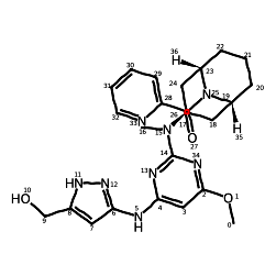 COc1cc(Nc2cc(CO)[nH]n2)nc(N(C)[C@@H]2C[C@H]3CCC[C@@H](C2)N3C(=O)c2ccccn2)n1